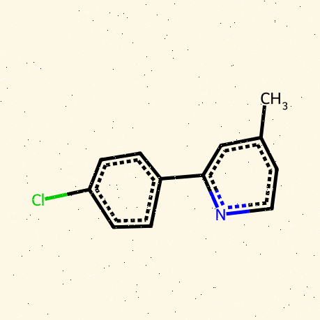 Cc1ccnc(-c2ccc(Cl)cc2)c1